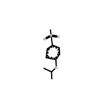 C[C](C)Oc1ccc(S(C)(=O)=O)cc1